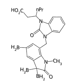 Bc1cc(Cn2c(=O)n(C(CCC)CC(=O)O)c3ccccc32)c2c(c1)C(B)(B)C(=O)N2C